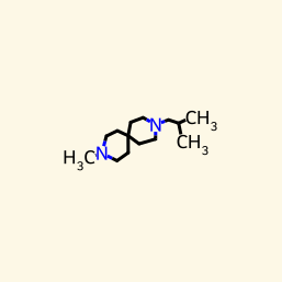 CC(C)CN1CCC2(CCN(C)CC2)CC1